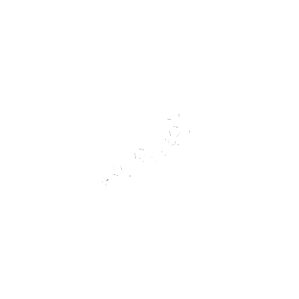 COc1cc(C#N)ccc1COc1nc(C23CCN(Cc4nc5c(OC)cc(C(=O)O)cc5n4CC4CCO4)CC2C3)ccc1F